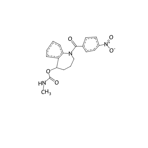 CNC(=O)OC1CCCN(C(=O)c2ccc([N+](=O)[O-])cc2)c2ccccc21